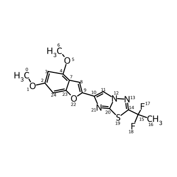 COc1cc(OC)c2cc(-c3cn4nc(C(C)(F)F)sc4n3)oc2c1